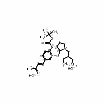 CCC(CC)CN1CC[C@@H](N(C(=O)OC(C)(C)C)c2ccc(C=CC(=O)O)cn2)C1I.Cl.Cl